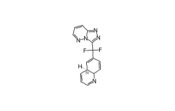 FC(F)(C1=C[C@@H]2C=CC=NC2C=C1)c1nnc2cccnn12